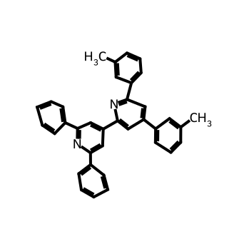 Cc1cccc(-c2cc(-c3cccc(C)c3)nc(-c3cc(-c4ccccc4)nc(-c4ccccc4)c3)c2)c1